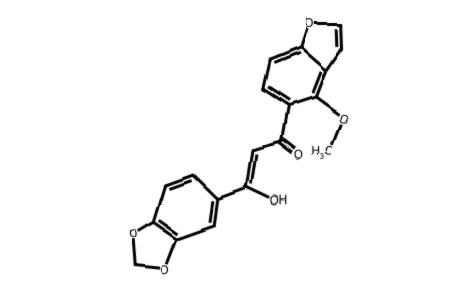 COc1c(C(=O)/C=C(\O)c2ccc3c(c2)OCO3)ccc2occc12